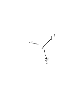 C[C@@H](Br)I